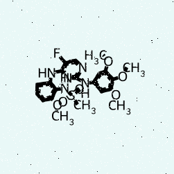 COc1cccc(Nc2nc(Nc3cc(OC)c(OC)c(OC)c3)ncc2F)c1NS(C)(=O)=O